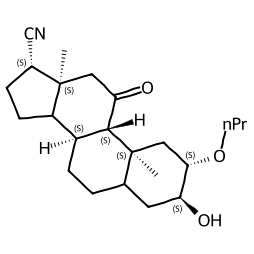 CCCO[C@H]1C[C@@]2(C)C(CC[C@H]3C4CC[C@H](C#N)[C@@]4(C)CC(=O)[C@@H]32)C[C@@H]1O